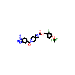 CC(F)(F)Oc1ccc(COC(=O)N2CC3(CCN(C(=O)C4CCc5[nH]nnc5C4)CC3)C2)c(F)c1